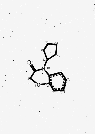 O=C1COc2ccccc2N1C1CCCC1